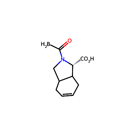 BC(=O)N1CC2CC=CCC2[C@H]1C(=O)O